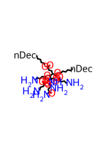 CCCCCCCCCCCCCCCOC(=O)CCC(C(=O)OCCCCCCCCCCCCCCC)C(OC(=O)CCCN)C(COC(=O)CCCN)(COC(=O)CCCN)NC(=O)C(N)CC(N)=O